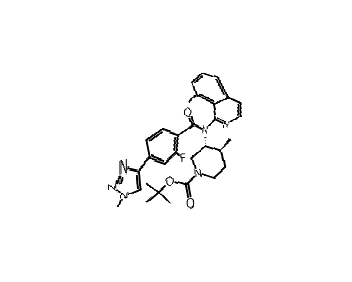 Cc1cccc2ccnc(N(C(=O)c3ccc(-c4cn(C)nn4)cc3F)[C@H]3CN(C(=O)OC(C)(C)C)CC[C@@H]3C)c12